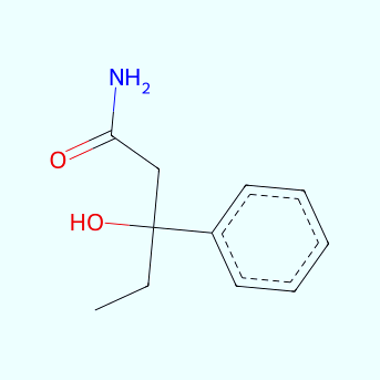 CCC(O)(CC(N)=O)c1ccccc1